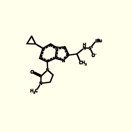 CC(N[S+]([O-])C(C)(C)C)c1cn2cc(C3CC3)cc(N3CCN(C)C3=O)c2n1